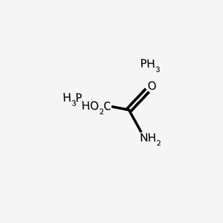 NC(=O)C(=O)O.P.P